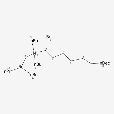 CCCCCCCCCCCCCCCC[N+](CCCC)(CCCC)CC(CCC)CCCC.[Br-]